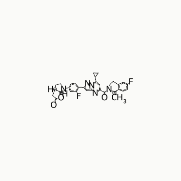 C[C@@H]1c2ccc(F)cc2CCN1C(=O)c1cc(C2CC2)n2nc(-c3ccc(N4CC[C@H]5CC(=O)O[C@H]54)cc3F)cc2n1